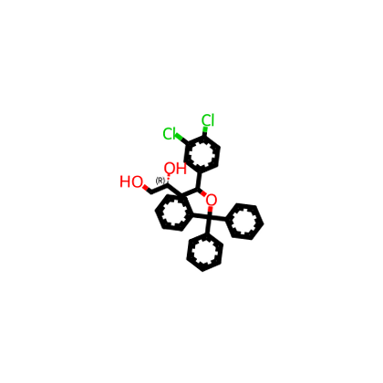 OC[C@H](O)CC(OC(c1ccccc1)(c1ccccc1)c1ccccc1)c1ccc(Cl)c(Cl)c1